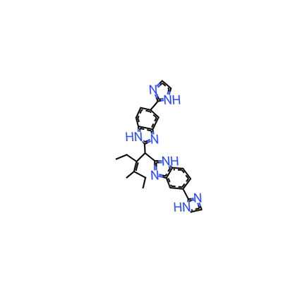 CC/C(C)=C(/CC)C(c1nc2cc(-c3ncc[nH]3)ccc2[nH]1)c1nc2cc(-c3ncc[nH]3)ccc2[nH]1